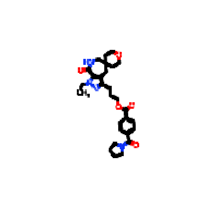 CCn1nc(CCCOC(=O)c2ccc(C(=O)N3CCCC3)cc2)c2c1C(=O)NCC1(CCOCC1)C2